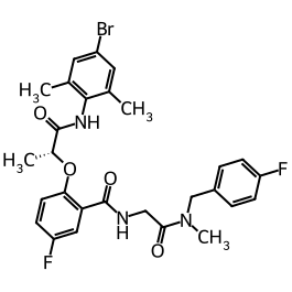 Cc1cc(Br)cc(C)c1NC(=O)[C@@H](C)Oc1ccc(F)cc1C(=O)NCC(=O)N(C)Cc1ccc(F)cc1